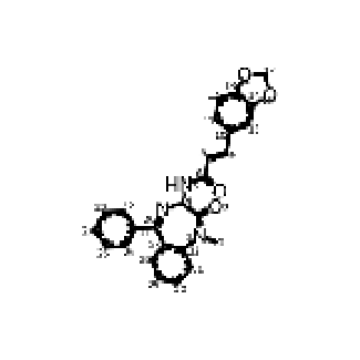 CN1C(=O)[C@H](NC(=O)C=Cc2ccc3c(c2)OCO3)N=C(c2ccccc2)c2ccccc21